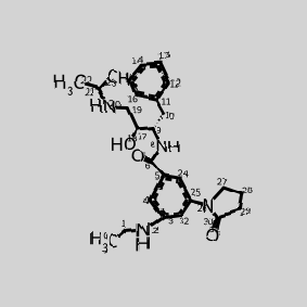 CCNc1cc(C(=O)N[C@@H](Cc2ccccc2)[C@@H](O)CNC(C)C)cc(N2CCCC2=O)c1